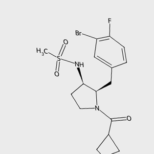 CS(=O)(=O)N[C@@H]1CCN(C(=O)C2CCC2)[C@@H]1Cc1ccc(F)c(Br)c1